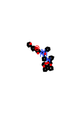 c1ccc(-c2ccc3c(c2)oc2cc(-c4nc(-c5ccccc5)nc(-c5cccc(-n6c7ccccc7c7ccc8c(c76)-c6ccccc6C86c7ccccc7-c7ccccc76)c5)n4)ccc23)cc1